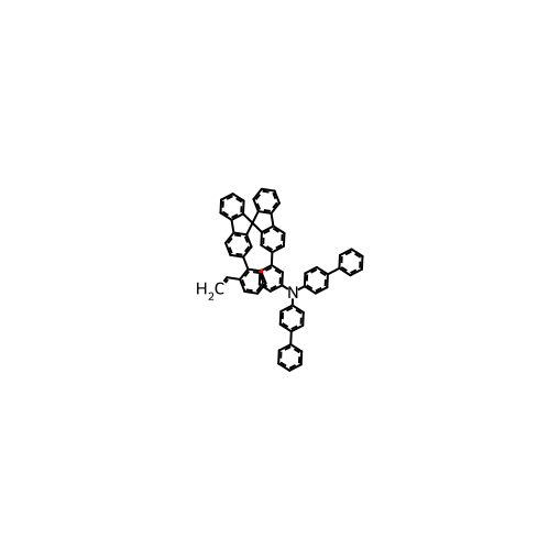 C=Cc1ccccc1-c1ccc2c(c1)C1(c3ccccc3-c3ccc(-c4cccc(N(c5ccc(-c6ccccc6)cc5)c5ccc(-c6ccccc6)cc5)c4)cc31)c1ccccc1-2